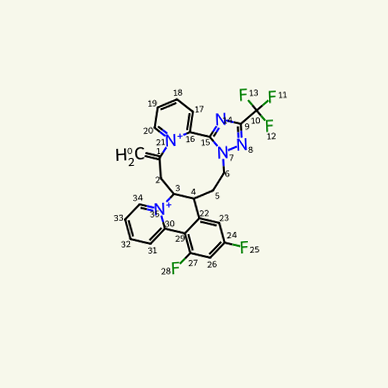 C=C1CC2C(CCn3nc(C(F)(F)F)nc3-c3cccc[n+]31)c1cc(F)cc(F)c1-c1cccc[n+]12